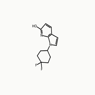 Oc1ccc2ccn(C3CCC(F)(F)CC3)c2n1